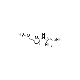 COCc1cnc(N/C(N)=C/C=N)o1